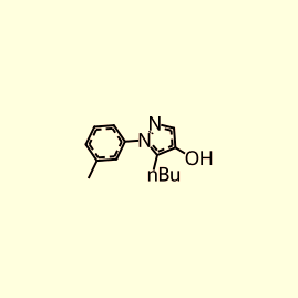 CCCCc1c(O)cnn1-c1cccc(C)c1